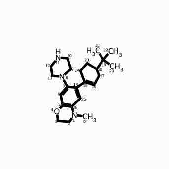 CN1CCOc2cc(N3CCNCC3)c(C3=CCC(C(C)(C)C)CC3)cc21